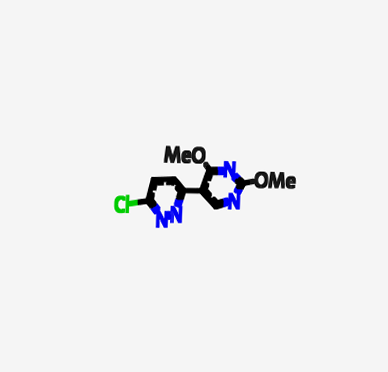 COc1ncc(-c2ccc(Cl)nn2)c(OC)n1